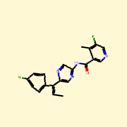 CC=C(c1ccc(Br)cc1)c1cnc(NC(=O)c2cncc(F)c2C)cn1